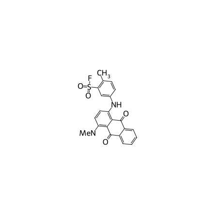 CNc1ccc(Nc2ccc(C)c(S(=O)(=O)F)c2)c2c1C(=O)c1ccccc1C2=O